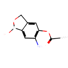 CNC(=O)Oc1cc2c(cc1N)B(O)OC2